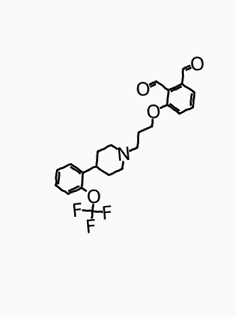 O=Cc1cccc(OCCCN2CCC(c3ccccc3OC(F)(F)F)CC2)c1C=O